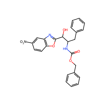 O=C(NC(Cc1ccccc1)C(O)c1nc2cc([N+](=O)[O-])ccc2o1)OCc1ccccc1